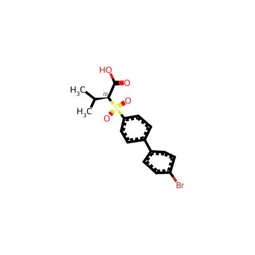 CC(C)[C@@H](C(=O)O)S(=O)(=O)c1ccc(-c2ccc(Br)cc2)cc1